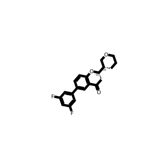 O=C1C[C@@H]([C@H]2CCCOC2)Oc2ccc(-c3cc(F)cc(F)c3)cc21